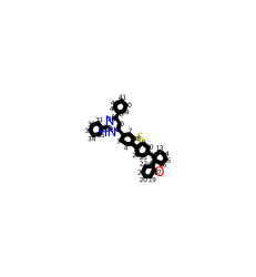 C1=C(c2ccc3c(c2)sc2cc(-c4cccc5oc6ccccc6c45)ccc23)NC(c2ccccc2)N=C1c1ccccc1